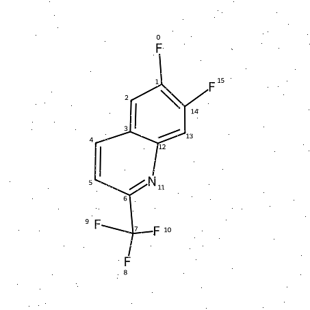 Fc1cc2ccc(C(F)(F)F)nc2cc1F